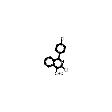 O=Cc1c(Cl)nc(-c2ccc(Cl)cc2)c2ccccc12